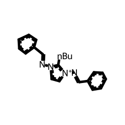 CCCCc1n(N=Cc2ccccc2)cc[n+]1N=Cc1ccccc1